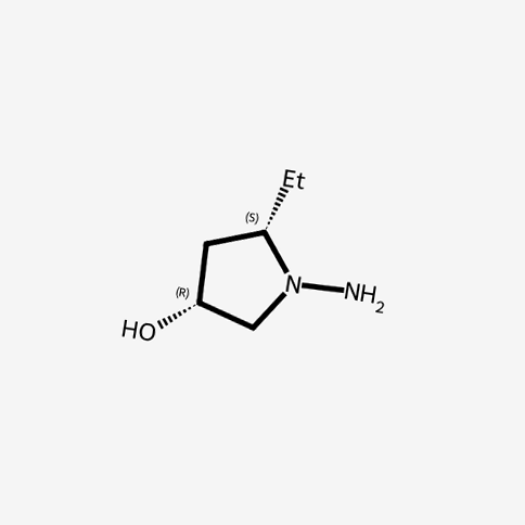 CC[C@H]1C[C@@H](O)CN1N